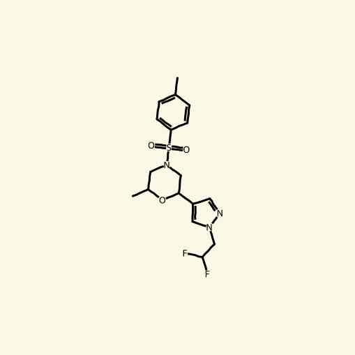 Cc1ccc(S(=O)(=O)N2CC(C)OC(c3cnn(CC(F)F)c3)C2)cc1